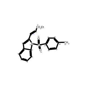 CCOC(=O)/C=C/c1cc2ccccc2n1S(=O)(=O)c1ccc(C)cc1